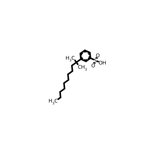 CCCCCCCCCC(C)(C)c1cccc(S(=O)(=O)O)c1